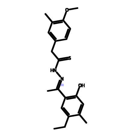 CCc1cc(/C(C)=N/NC(=S)Cc2ccc(OC)c(C)c2)c(O)cc1C